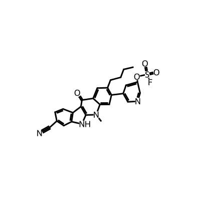 CCCCc1cc2c(=O)c3c4ccc(C#N)cc4[nH]c3n(C)c2cc1-c1cncc(OS(=O)(=O)F)c1